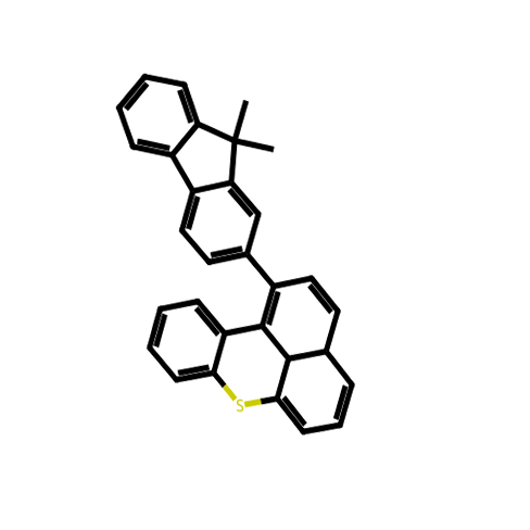 CC1(C)c2ccccc2-c2ccc(C3=C4c5ccccc5SC5=CC=CC(C=C3)C54)cc21